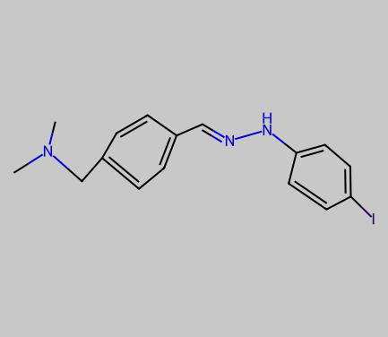 CN(C)Cc1ccc(C=NNc2ccc(I)cc2)cc1